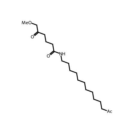 COCC(=O)CCCC(=O)NCCCCCCCCCCCC(C)=O